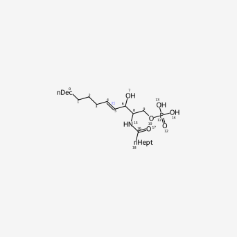 CCCCCCCCCCCCC/C=C/C(O)C(COP(=O)(O)O)NC(=O)CCCCCCC